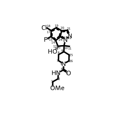 COCCNC(=O)N1CCC(C2(C)[C@H](O)c3c(F)c(Cl)cc4cnn2c34)CC1